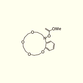 C=C(OC)ON1CCOCCOCCOCCOc2ccccc21